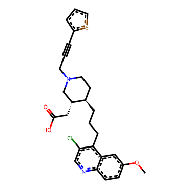 COc1ccc2ncc(Cl)c(CCC[C@@H]3CCN(CC#Cc4cccs4)C[C@H]3CC(=O)O)c2c1